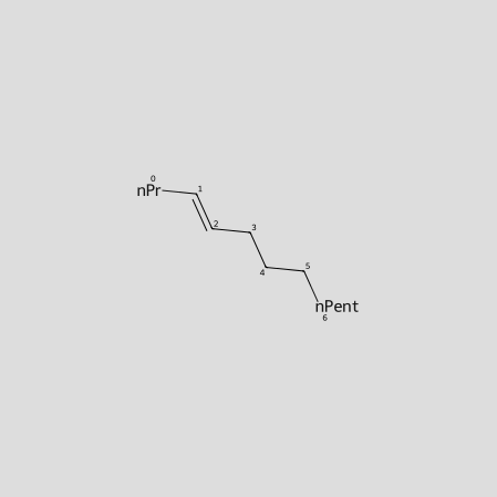 CCC/C=C/CCCCCCCC